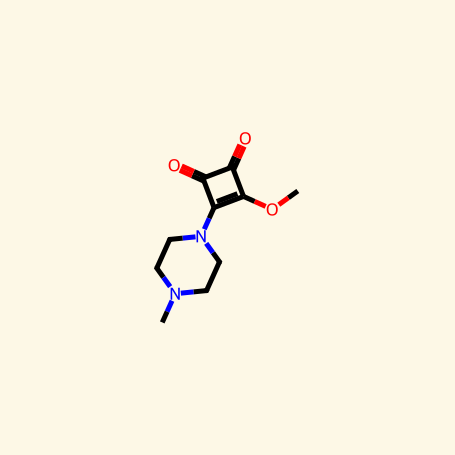 COc1c(N2CCN(C)CC2)c(=O)c1=O